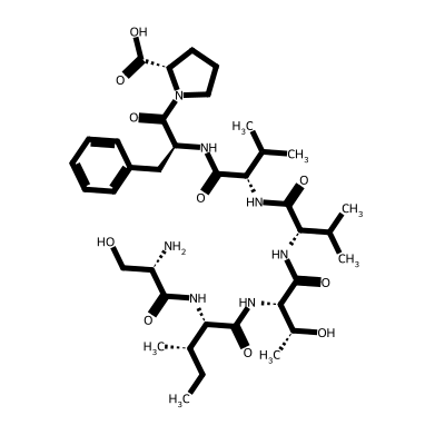 CC[C@H](C)[C@H](NC(=O)[C@@H](N)CO)C(=O)N[C@H](C(=O)N[C@H](C(=O)N[C@H](C(=O)N[C@@H](Cc1ccccc1)C(=O)N1CCC[C@H]1C(=O)O)C(C)C)C(C)C)[C@@H](C)O